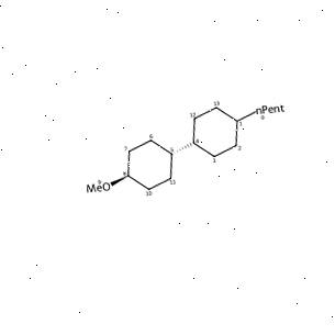 CCCCCC1CCC([C@H]2CC[C@H](OC)CC2)CC1